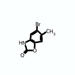 Cc1cc2oc(=O)[nH]c2cc1Br